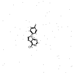 Cc1ccc(-n2ccc3c(Cl)ncnc32)cc1